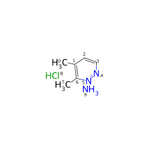 Cc1ccnnc1C.Cl.N